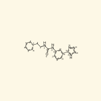 O=C(NCCc1ccccc1)Nc1cccc(-c2nnn[nH]2)c1